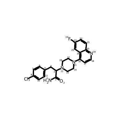 NC(=O)C(Cc1ccc(Cl)cc1)N1CCN(c2ccnc3ccc(F)cc23)CC1